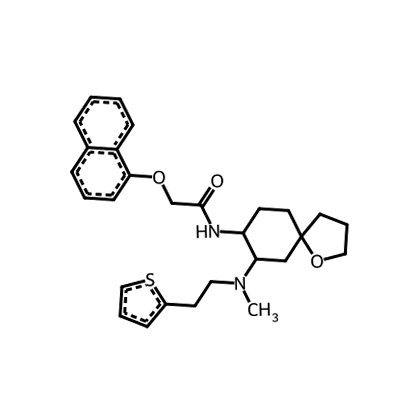 CN(CCc1cccs1)C1CC2(CCCO2)CCC1NC(=O)COc1cccc2ccccc12